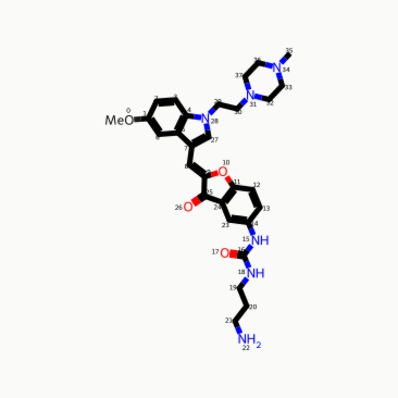 COc1ccc2c(c1)c(/C=C1\Oc3ccc(NC(=O)NCCCN)cc3C1=O)cn2CCN1CCN(C)CC1